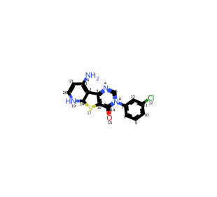 NC1=C2c3ncn(-c4cccc(Cl)c4)c(=O)c3SC2NC=C1